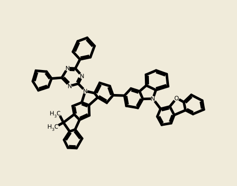 CC1(C)c2ccccc2-c2cc3c4cc(-c5ccc6c(c5)c5ccccc5n6-c5cccc6c5oc5ccccc56)ccc4n(-c4nc(-c5ccccc5)nc(-c5ccccc5)n4)c3cc21